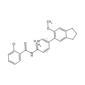 C=C(/C=C\C(=C/N)c1cc2c(cc1OC)CCC2)NC(=O)c1ccccc1Cl